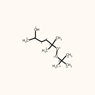 CC(O)CCC(C)(C)OOC(C)(C)C